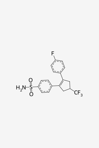 NS(=O)(=O)c1ccc(C2=C(c3ccc(F)cc3)CC(C(F)(F)F)C2)cc1